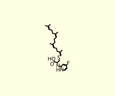 CC(C)=CCCC(C)=CCCC(C)=CCCC(C)=CSCC(Nc1cc(F)ccn1)C(=O)O